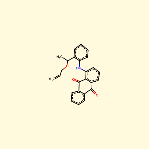 C=CCOC(C)c1ccccc1Nc1cccc2c1C(=O)c1ccccc1C2=O